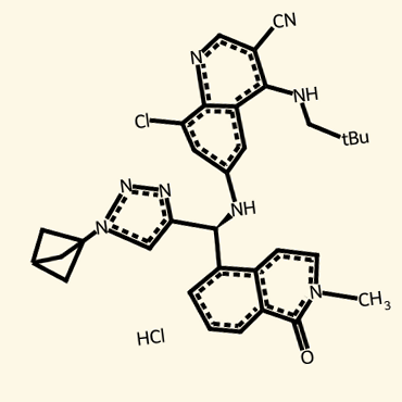 Cl.Cn1ccc2c([C@H](Nc3cc(Cl)c4ncc(C#N)c(NCC(C)(C)C)c4c3)c3cn(C45CC(C4)C5)nn3)cccc2c1=O